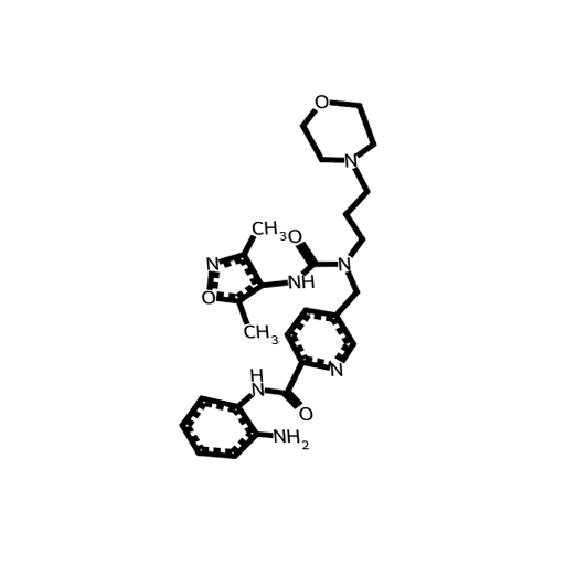 Cc1noc(C)c1NC(=O)N(CCCN1CCOCC1)Cc1ccc(C(=O)Nc2ccccc2N)nc1